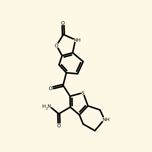 NC(=O)c1c(C(=O)c2ccc3[nH]c(=O)oc3c2)sc2c1CCNC2